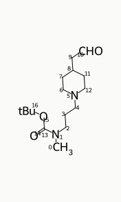 CN(CCCN1CCC(CC=O)CC1)C(=O)OC(C)(C)C